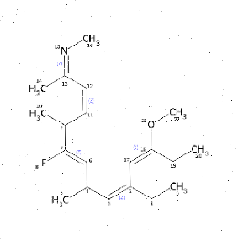 CCC(=C/C(C)/C=C(\F)C(C)/C=C\C(C)=N/C)/C=C(\CC)OC